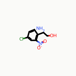 N.O=[N+]([O-])c1cc(Cl)ccc1CCO